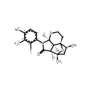 C[C@@]12C[C@H](O)[C@]3(CCO[C@H]4[C@@H]3[C@@H]1C(=O)N4c1ccc(C#N)c(C(F)(F)F)c1F)O2